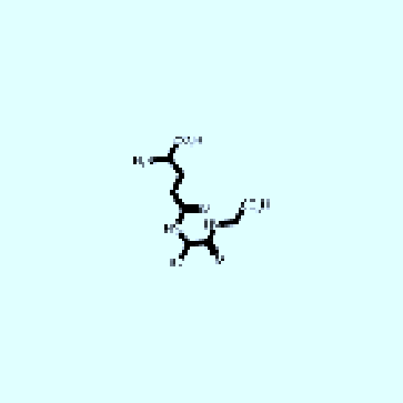 CCC(NC(=O)CCC(N)C(=O)O)C(=O)NCC(=O)O